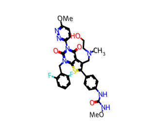 CONC(=O)Nc1ccc(-c2sc3c(c2CN(C)CCO)c(=O)n(-c2ccc(OC)nn2)c(=O)n3Cc2c(F)cccc2F)cc1